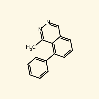 Cc1nncc2cccc(-c3ccccc3)c12